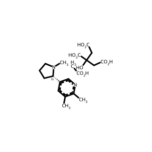 CC(=O)O.Cc1cc([C@@H]2CCCN2C)cnc1C.O=C(O)CC(O)(CC(=O)O)C(=O)O